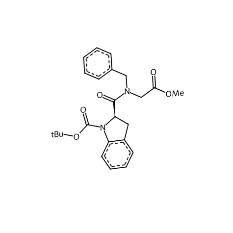 COC(=O)CN(Cc1ccccc1)C(=O)[C@H]1Cc2ccccc2N1C(=O)OC(C)(C)C